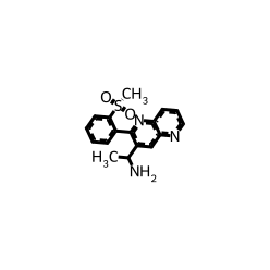 CC(N)c1cc2ncccc2nc1-c1ccccc1S(C)(=O)=O